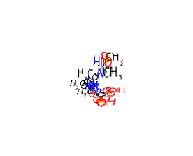 CCN(CCNS(C)(=O)=O)c1ccc(/N=C2/C(C(C)(C)C)=Nn3c2nnc3C(C)NC(=O)c2cc(S(=O)(=O)O)cc(S(=O)(=O)O)c2)c(C)c1